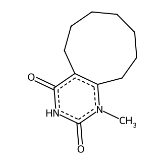 Cn1c2c(c(=O)[nH]c1=O)CCCCCCC2